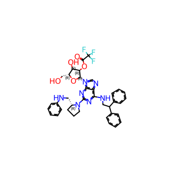 O=C(O[C@@H]1[C@H](O)[C@@H](CO)O[C@H]1n1cnc2c(NCC(c3ccccc3)c3ccccc3)nc(N3CCC[C@@H]3CNc3ccccc3)nc21)C(F)(F)F